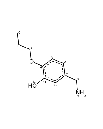 CCCOc1ccc(CN)cc1O